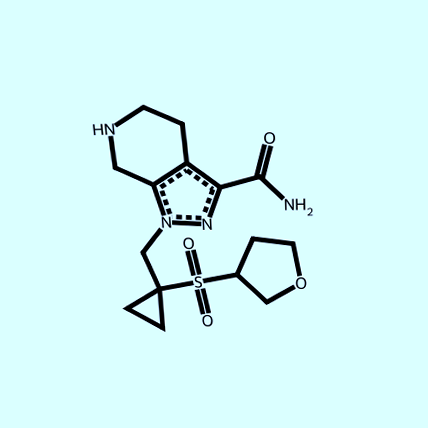 NC(=O)c1nn(CC2(S(=O)(=O)C3CCOC3)CC2)c2c1CCNC2